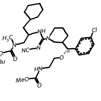 COC(=O)NCCO[C@@H](c1cccc(Cl)c1)C1CCCN(C(=NC#N)NC(CC2CCCCC2)CN(C)C(=O)OC(C)(C)C)C1